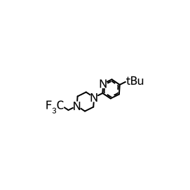 CC(C)(C)c1ccc(N2CCN(CC(F)(F)F)CC2)nc1